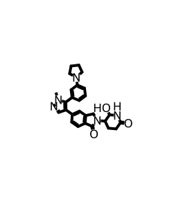 Cn1ncc(-c2ccc3c(c2)CN(C2CCC(=O)NC2O)C3=O)c1-c1cccc(N2CCCC2)c1